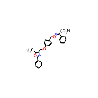 Cc1oc(-c2ccccc2)nc1COc1ccc(CON=C(C(=O)O)c2ccccc2)cc1